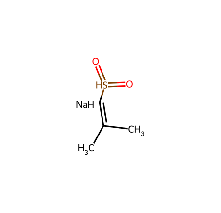 CC(C)=C[SH](=O)=O.[NaH]